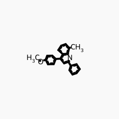 COc1ccc(-c2cc(-c3ccccc3)nc3c(C)cccc23)cc1